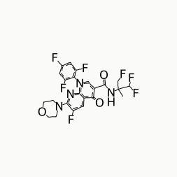 CC(CF)(NC(=O)c1cn(-c2c(F)cc(F)cc2F)c2nc(N3CCOCC3)c(F)cc2c1=O)C(F)F